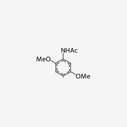 COc1[c]cc(OC)c(NC(C)=O)c1